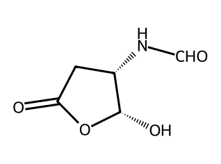 O=CN[C@H]1CC(=O)O[C@H]1O